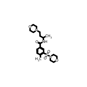 Cc1ccc(C(=O)NC(C)CCN2CCOCC2)cc1S(=O)(=O)N1CCOCC1